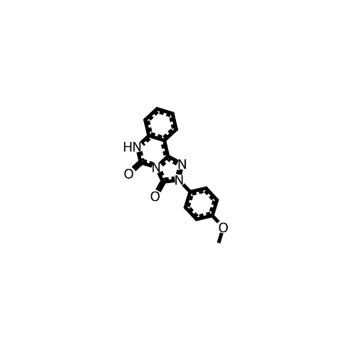 COc1ccc(-n2nc3c4ccccc4[nH]c(=O)n3c2=O)cc1